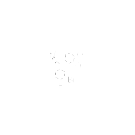 COc1cc2c(cc1OC)C(c1ccc(F)c(Br)c1)=NN=C(C)C2